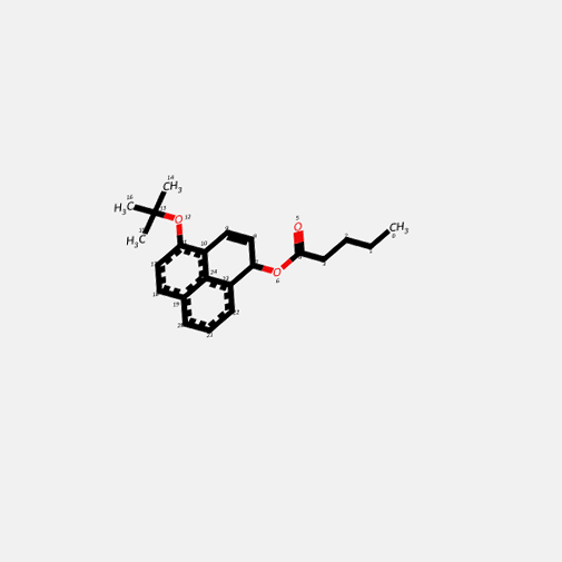 CCCCC(=O)OC1C=Cc2c(OC(C)(C)C)ccc3cccc1c23